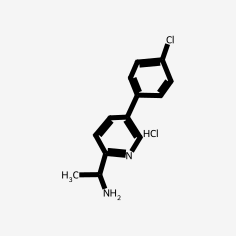 CC(N)c1ccc(-c2ccc(Cl)cc2)cn1.Cl